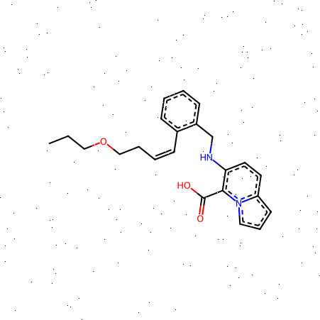 CCCOCC/C=C\c1ccccc1CNc1ccc2cccn2c1C(=O)O